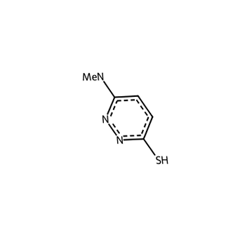 CNc1ccc(S)nn1